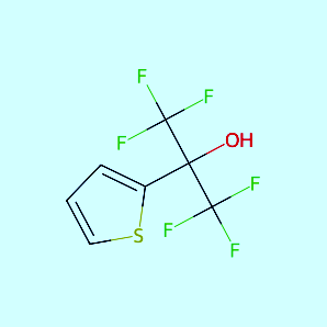 OC(c1cccs1)(C(F)(F)F)C(F)(F)F